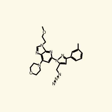 COCCn1cnc2c(N3CCOCC3)cc(-n3nc(-c4cccc(C)c4)cc3CN=[N+]=[N-])nc21